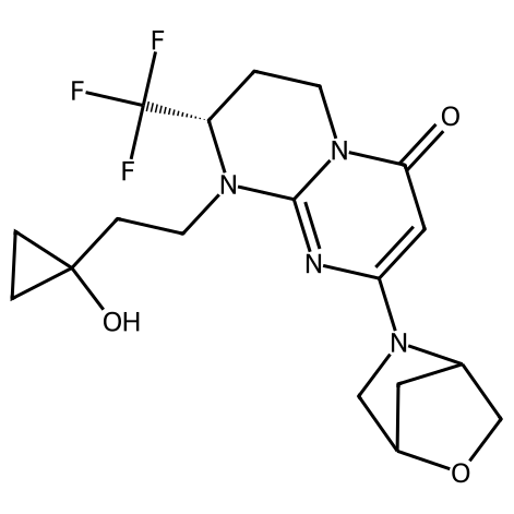 O=c1cc(N2CC3CC2CO3)nc2n1CC[C@@H](C(F)(F)F)N2CCC1(O)CC1